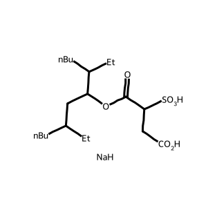 CCCCC(CC)CC(OC(=O)C(CC(=O)O)S(=O)(=O)O)C(CC)CCCC.[NaH]